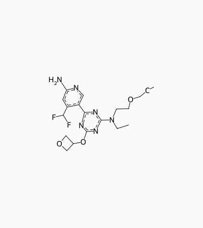 CCCOCCN(CC)c1nc(OC2COC2)nc(-c2cnc(N)cc2C(F)F)n1